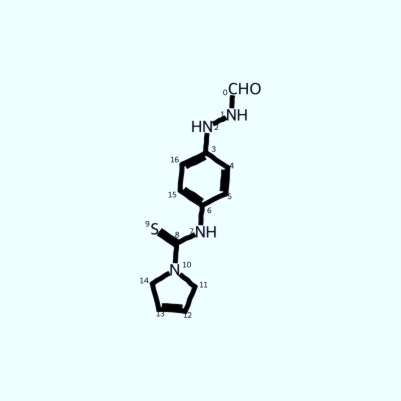 O=CNNc1ccc(NC(=S)N2CC=CC2)cc1